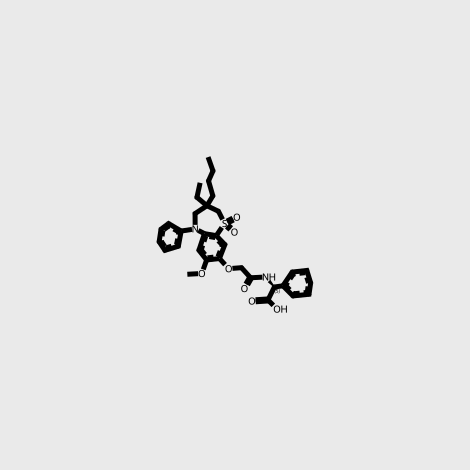 CCCCC1(CC)CN(c2ccccc2)c2cc(OC)c(OCC(=O)N[C@H](C(=O)O)c3ccccc3)cc2S(=O)(=O)C1